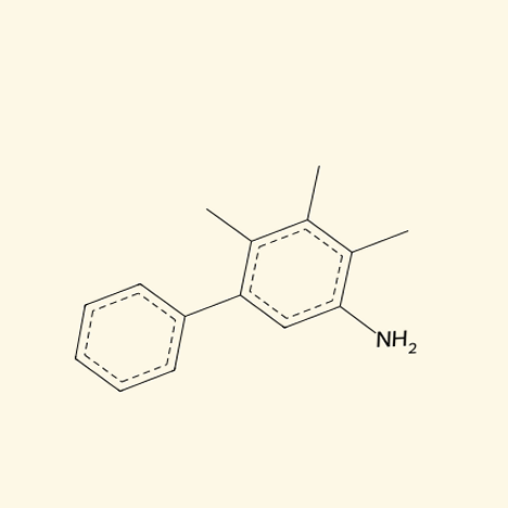 Cc1c(N)cc(-c2ccccc2)c(C)c1C